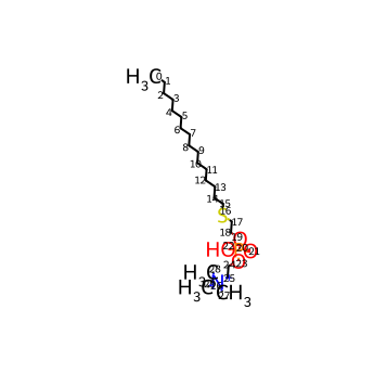 CCCCCCCCCCCCCCCCSCCOP(=O)(O)OCC[N+](C)(C)C